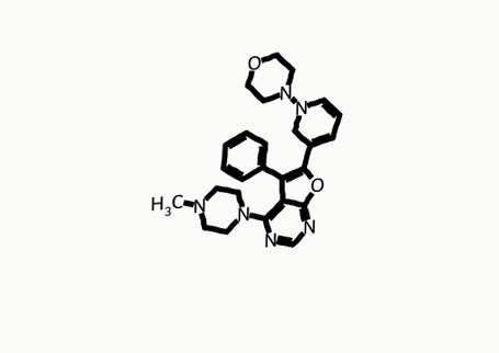 CN1CCN(c2ncnc3oc(C4=CC=CN(N5CCOCC5)C4)c(-c4ccccc4)c23)CC1